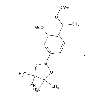 COOC(C)c1ccc(B2OC(C)(C)C(C)(C)O2)cc1OC